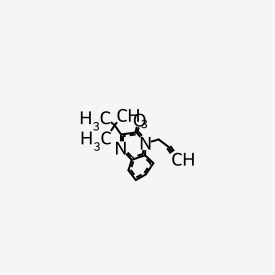 C#CCn1c(=O)c(C(C)(C)C)nc2ccccc21